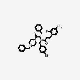 CCc1ccc(CN(C(=O)C=Cc2ccc(C(F)(F)F)cc2F)[C@@H](Cc2ccccc2)C(=O)N2CCN(Cc3ccccc3)CC2)cc1